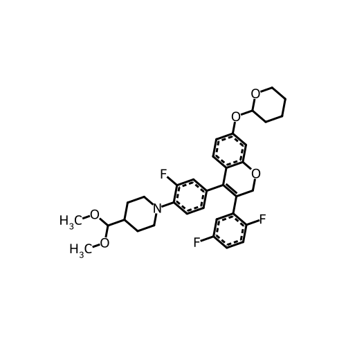 COC(OC)C1CCN(c2ccc(C3=C(c4cc(F)ccc4F)COc4cc(OC5CCCCO5)ccc43)cc2F)CC1